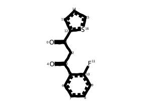 O=C(CC(=O)c1ccccc1F)c1cccs1